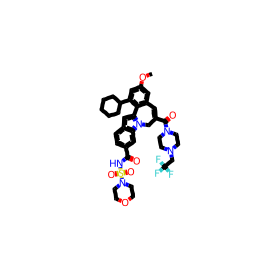 COc1cc2c(c(C3CCCCC3)c1)-c1cc3ccc(C(=O)NS(=O)(=O)N4CCOCC4)cc3n1CC(C(=O)N1CCN(CC(F)(F)F)CC1)=C2